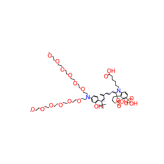 C=C(/C=C(\c1ccc(N(CCOCCOCCOCCOCCOCCOC)CCOCCOCCOCCOCCOCCOC)cc1O)C(C)(C)C)/C=C/C=C1/N(CCCCCC(=O)O)c2ccc(S(=O)(=O)O)cc2C1(C)CCCS(=O)(=O)O